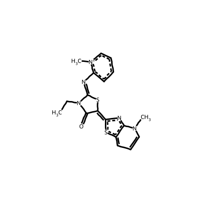 CCN1C(=O)/C(=c2/nc3c(s2)=CC=CN3C)S/C1=N\c1cccc[n+]1C